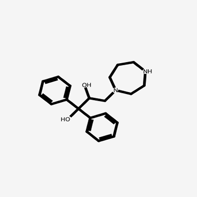 OC(CN1CCCNCC1)C(O)(c1ccccc1)c1ccccc1